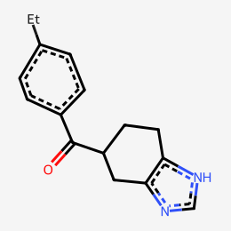 CCc1ccc(C(=O)C2CCc3[nH]cnc3C2)cc1